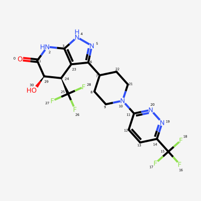 O=C1Nc2[nH]nc(C3CCN(c4ccc(C(F)(F)F)nn4)CC3)c2[C@@H](C(F)(F)F)[C@H]1O